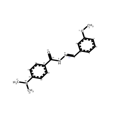 COc1cccc(/C=N/NC(=O)c2ccc(N(C)C)cc2)c1